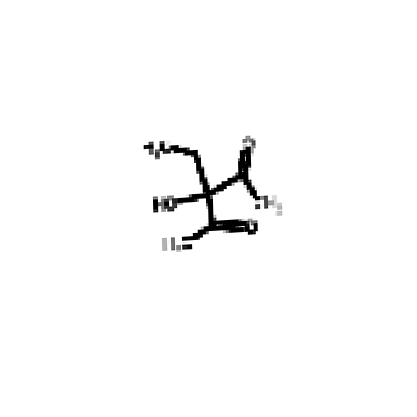 CCC(O)(C(C)=O)C(C)=O